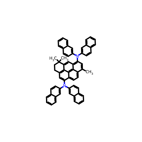 Cc1cc(N(c2ccc3ccccc3c2)c2ccc3ccccc3c2)c2cc3c4c(cc(N(c5ccc6ccccc6c5)c5ccc6ccccc6c5)c5ccc1c2c54)CCC3(C)C